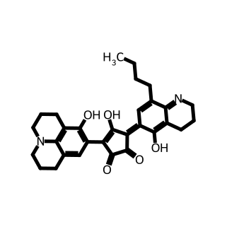 CCCCc1c/c(=C2/C(=O)C(=O)C(c3cc4c5c(c3O)CCCN5CCC4)=C2O)c(O)c2c1=NCCC2